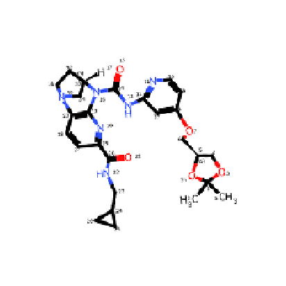 CC1(C)OC[C@H](COc2ccnc(NC(=O)N3c4nc(C(=O)NCC5CC5)ccc4N4CC[C@H]3C4)c2)O1